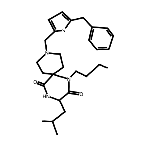 CCCCN1C(=O)C(CC(C)C)NC(=O)C12CCN(Cc1ccc(Cc3ccccc3)s1)CC2